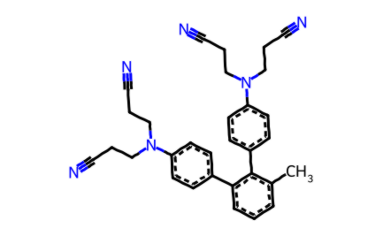 Cc1cccc(-c2ccc(N(CCC#N)CCC#N)cc2)c1-c1ccc(N(CCC#N)CCC#N)cc1